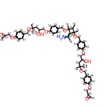 CCC(C)(CC(O)COc1ccc(COC2(C)C(=C(C)N)C(C)(OCc3ccc(OCC(O)CC(C)(CC)OCc4ccc(OCC5CO5)cc4)cc3)C2C)cc1)OCc1ccc(OCC2CO2)cc1